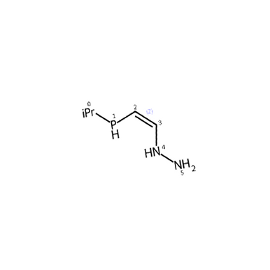 CC(C)P/C=C\NN